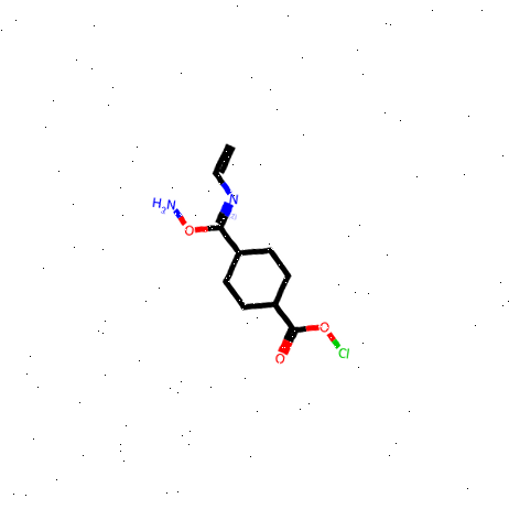 C=C/N=C(\ON)C1CCC(C(=O)OCl)CC1